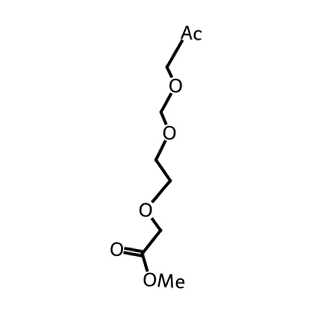 COC(=O)COCCOCOCC(C)=O